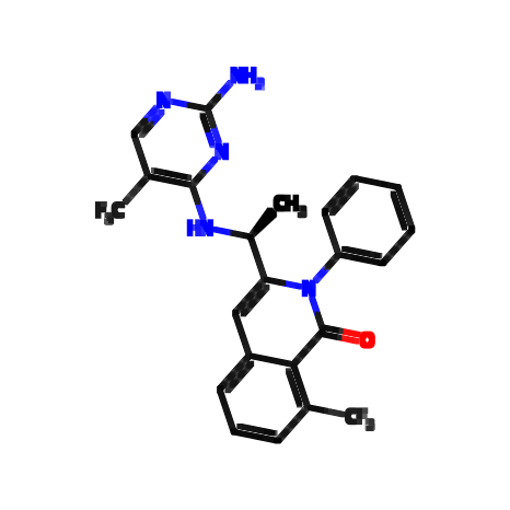 C[C@H](Nc1nc(N)ncc1C(F)(F)F)c1cc2cccc(C(F)(F)F)c2c(=O)n1-c1ccccc1